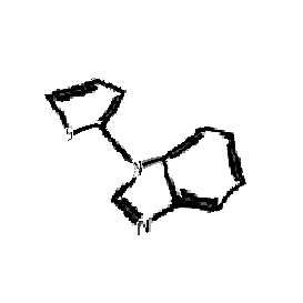 c1csc(-n2cnc3ccccc32)c1